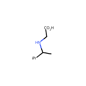 CC(C)C(C)NCC(=O)O